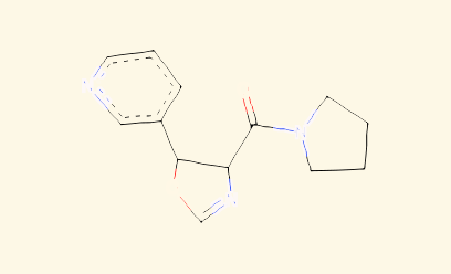 O=C(C1N=COC1c1cccnc1)N1CCCC1